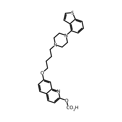 O=C(O)Oc1ccc2ccc(OCCCCN3CCN(c4cccc5sccc45)CC3)cc2n1